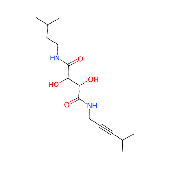 CC(C)C#CCNC(=O)C(O)C(O)C(=O)NCCC(C)C